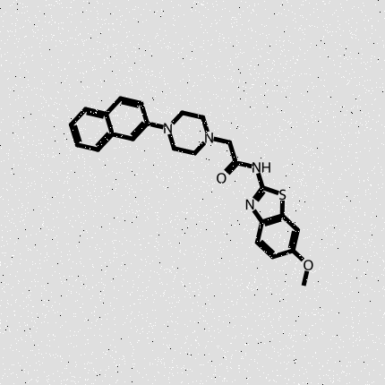 COc1ccc2nc(NC(=O)CN3CCN(c4ccc5ccccc5c4)CC3)sc2c1